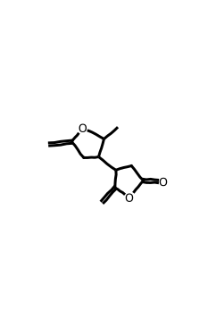 C=C1CC(C2CC(=O)OC2=C)C(C)O1